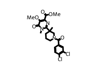 COC(=O)c1nc(C2(C)CCCN(C(=O)c3ccc(Cl)c(Cl)c3)C2)n(C)c(=O)c1OC